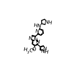 COc1cc2ncc(-c3cccc(NC4CCNC4)n3)n2nc1-c1cn[nH]c1